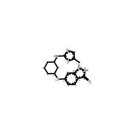 Cc1cnc(NC2CCCC(Sc3ccc4c(=O)[nH][nH]c4c3)C2)s1